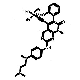 COc1ccccc1-c1c(C#C[Si](C(C)C)(C(C)C)C(C)C)c2cnc(Nc3ccc(N(C)CCN(C)C)cc3)nc2n(C)c1=O